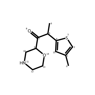 Cc1csc(C(C)C(=O)C2CNCCO2)c1